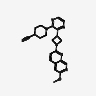 COc1cc2ccc(N3CC(c4nccnc4N4CCC(C#N)CC4)C3)nc2cn1